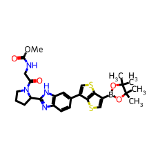 COC(=O)NCC(=O)N1CCCC1c1nc2ccc(-c3csc4c(B5OC(C)(C)C(C)(C)O5)csc34)cc2[nH]1